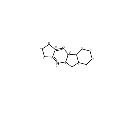 C1CC2=NC3CC4CCCCC4N3N=C2C1